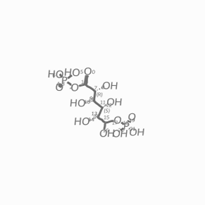 O=C(OP(=O)(O)O)[C@H](O)[C@@H](O)[C@H](O)[C@@H](O)C(O)OP(=O)(O)O